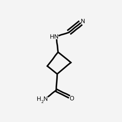 N#CNC1CC(C(N)=O)C1